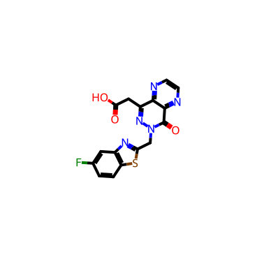 O=C(O)Cc1nn(Cc2nc3cc(F)ccc3s2)c(=O)c2nccnc12